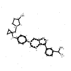 NC(c1cccc(-c2nnc3cn(-c4ccc(OC5(CN6CCC(O)C6)CC5)cc4)cnc2-3)c1)C(F)(F)F